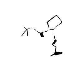 CC(=O)/C=C/[C@@H]1CCCN1C(=O)OC(C)(C)C